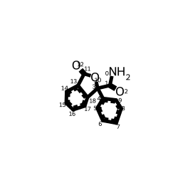 NC(=O)C1(c2ccccc2)OC(=O)c2ccccc21